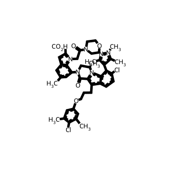 Cc1cc(N2CC(C)n3c(c(CCCOc4cc(C)c(Cl)c(C)c4)c4ccc(Cl)c(-c5c(C)nn(C)c5C)c43)C2=O)c2c(c1)cc(C(=O)O)n2CC(=O)N1CCOCC1